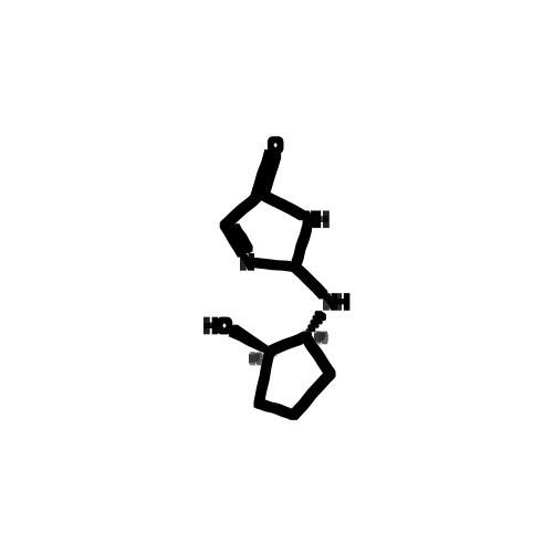 O=C1C=NC(N[C@@H]2CCC[C@H]2O)N1